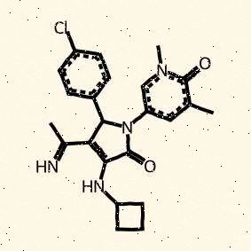 CC(=N)C1=C(NC2CCC2)C(=O)N(c2cc(C)c(=O)n(C)c2)C1c1ccc(Cl)cc1